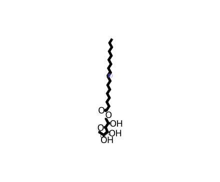 CCCCCCCC/C=C/CCCCCCCC(=O)OCC(O)C1OC[C@H](O)[C@H]1O